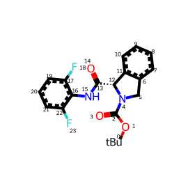 CC(C)(C)OC(=O)N1Cc2ccccc2[C@H]1C(=O)Nc1c(F)cccc1F